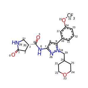 O=C1C[C@@H](C(=O)Nc2cc(-c3cccc(OC(F)(F)F)c3)n(CC3CCOCC3)n2)CN1